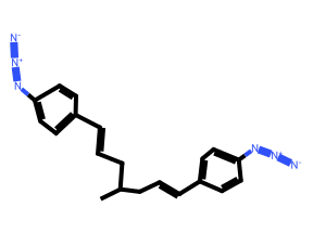 CC(C/C=C/c1ccc(N=[N+]=[N-])cc1)C/C=C/c1ccc(N=[N+]=[N-])cc1